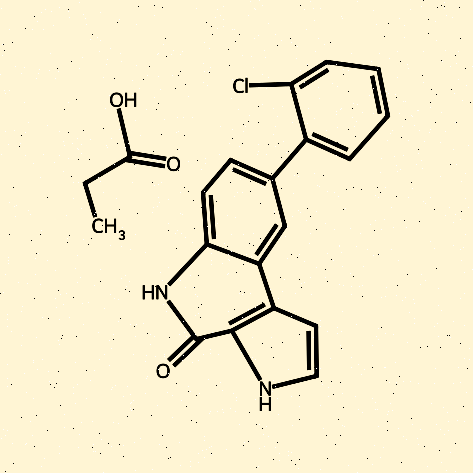 CCC(=O)O.O=c1[nH]c2ccc(-c3ccccc3Cl)cc2c2cc[nH]c12